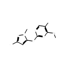 CCNc1nc(Nc2cc(C#N)nn2C)ncc1C(F)(F)F